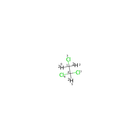 [2H]C([2H])(Cl)C([2H])(Cl)Cl